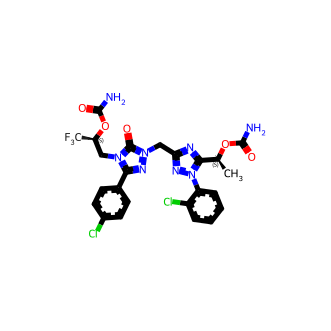 C[C@H](OC(N)=O)c1nc(Cn2nc(-c3ccc(Cl)cc3)n(C[C@H](OC(N)=O)C(F)(F)F)c2=O)nn1-c1ccccc1Cl